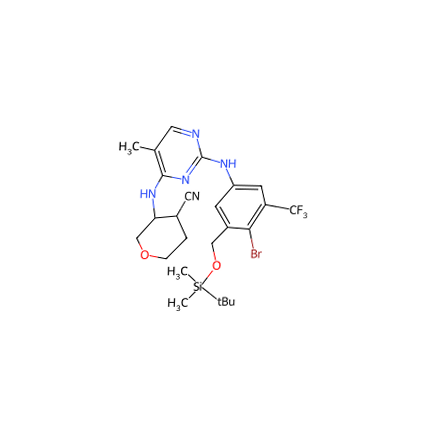 Cc1cnc(Nc2cc(CO[Si](C)(C)C(C)(C)C)c(Br)c(C(F)(F)F)c2)nc1NC1COCCC1C#N